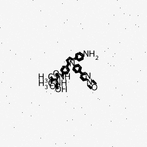 CC(C)[C@H](NC(=O)O)C(=O)Nc1ccc(C2CCC(c3ccc(N)cc3)N2c2ccc(-c3ccc(N4CCOCC4)nc3)cc2)cc1